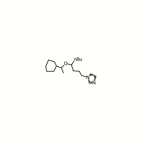 CCCCC(CCCn1ccnc1)OC(C)C1CCCCC1